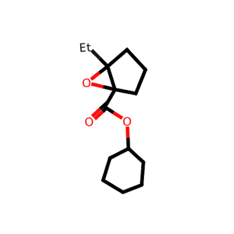 CCC12CCCC1(C(=O)OC1CCCCC1)O2